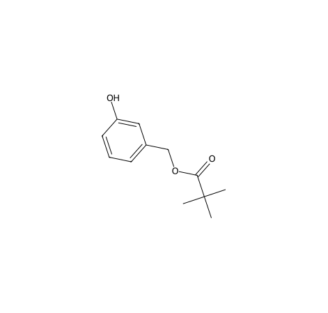 CC(C)(C)C(=O)OCc1cccc(O)c1